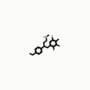 CCc1ccc(C(CCNC)Cc2cc(F)c(C)c(F)c2F)cc1